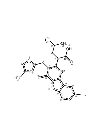 Cc1csc(Cn2c(N(CC(C)C)C(=O)O)nc3c(oc4ccc(F)cc43)c2=O)c1